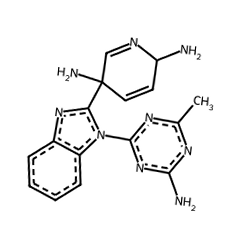 Cc1nc(N)nc(-n2c(C3(N)C=CC(N)N=C3)nc3ccccc32)n1